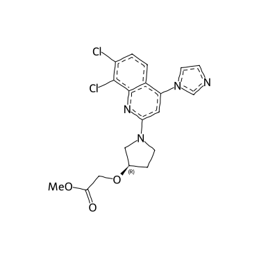 COC(=O)CO[C@@H]1CCN(c2cc(-n3ccnc3)c3ccc(Cl)c(Cl)c3n2)C1